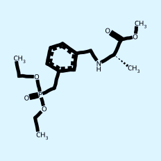 CCOP(=O)(Cc1cccc(CN[C@@H](C)C(=O)OC)c1)OCC